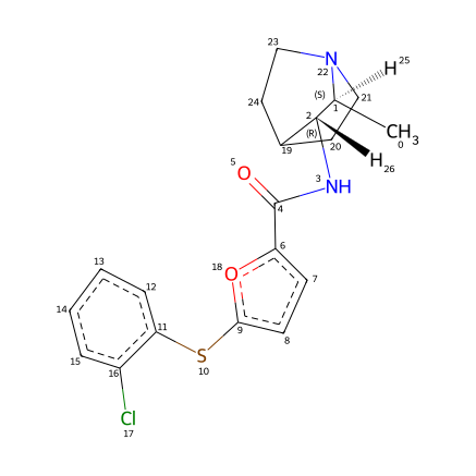 C[C@H]1[C@H](NC(=O)c2ccc(Sc3ccccc3Cl)o2)C2CCN1CC2